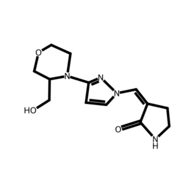 O=C1NCC/C1=C/n1ccc(N2CCOCC2CO)n1